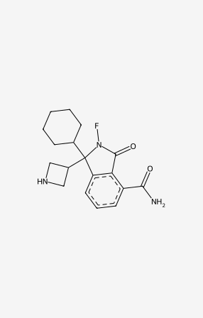 NC(=O)c1cccc2c1C(=O)N(F)C2(C1CCCCC1)C1CNC1